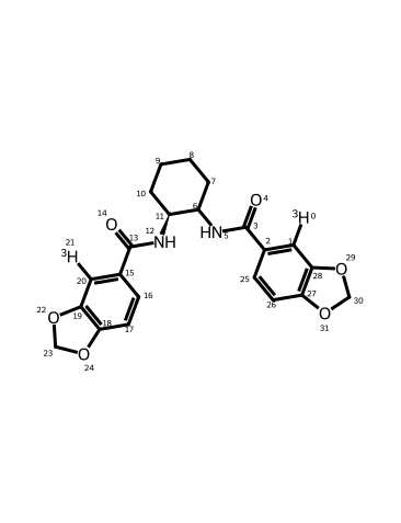 [3H]c1c(C(=O)NC2CCCC[C@@H]2NC(=O)c2ccc3c(c2[3H])OCO3)ccc2c1OCO2